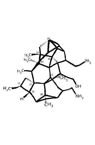 C[C@H]1C[C@]23[C@@H]1C1C4C(CN)C56C(CO)C78C(CP)C9C%10C%11C2(C)[C@]2(C)C7([C@]5(C)C63[C@@]41C)[C@@]81C9[C@]%10%11C[C@@]21C